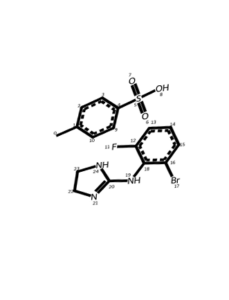 Cc1ccc(S(=O)(=O)O)cc1.Fc1cccc(Br)c1NC1=NCCN1